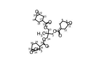 CC(COC(=O)C1CCC2OC2C1)(COC(=O)C1CCC2OC2C1)COC(=O)C1CCC2(C)OC2C1